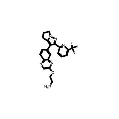 NCCOc1cnc2ccc(-c3c(-c4cccc(C(F)(F)F)n4)nn4c3CCC4)cc2n1